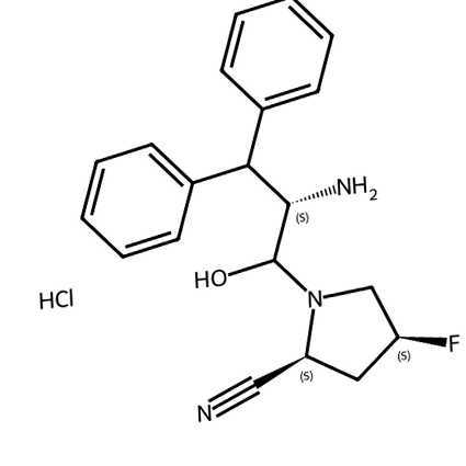 Cl.N#C[C@@H]1C[C@H](F)CN1C(O)[C@@H](N)C(c1ccccc1)c1ccccc1